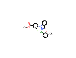 CCCCOC(=O)c1ccc(-n2nc(Oc3c(Cl)cccc3C(F)(F)F)c3ccccc32)c(F)c1